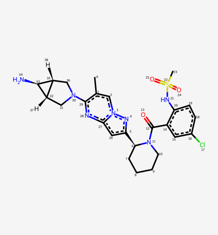 Cc1cn2nc([C@@H]3CCCCN3C(=O)c3cc(Cl)ccc3NS(C)(=O)=O)cc2nc1N1C[C@@H]2[C@@H](N)[C@@H]2C1